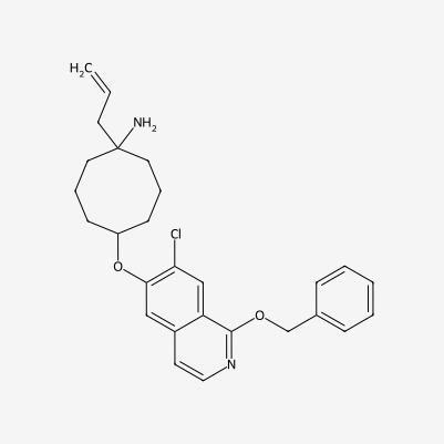 C=CCC1(N)CCCC(Oc2cc3ccnc(OCc4ccccc4)c3cc2Cl)CCC1